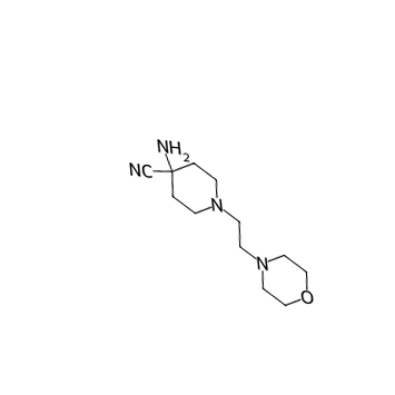 N#CC1(N)CCN(CCN2CCOCC2)CC1